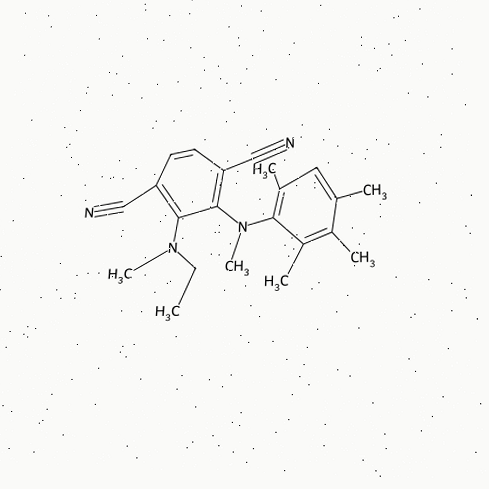 CCN(C)c1c(C#N)ccc(C#N)c1N(C)c1c(C)cc(C)c(C)c1C